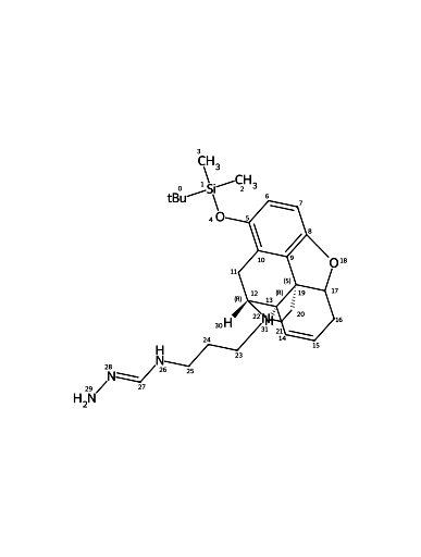 CC(C)(C)[Si](C)(C)Oc1ccc2c3c1C[C@@H]1[C@@H]4C=CCC(O2)[C@]34CCN1CCCNC=NN